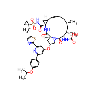 CC(C)Oc1ccc(-c2cc(O[C@@H]3C[C@H]4C(=O)N[C@]5(C(=O)NS(=O)(=O)C6(C)CC6)C[C@H]5/C=C\CC[C@@H](C)C[C@@H](C)[C@H](NC(=O)O)C(=O)N4C3)cc(-c3nccs3)n2)cc1